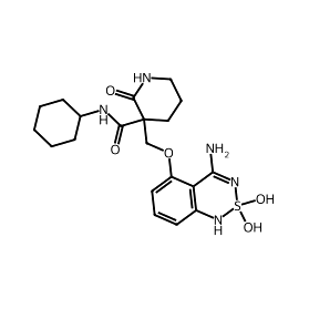 NC1=NS(O)(O)Nc2cccc(OCC3(C(=O)NC4CCCCC4)CCCNC3=O)c21